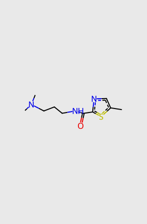 Cc1cnc(C(=O)NCCCN(C)C)s1